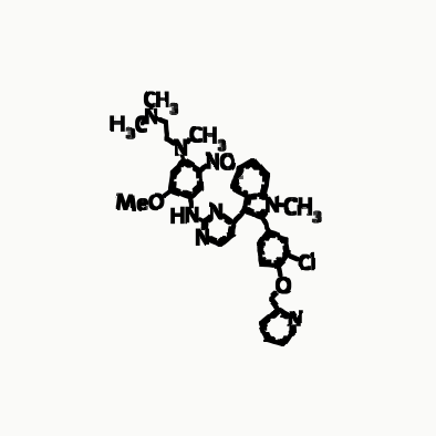 COc1cc(N(C)CCN(C)C)c([N+](=O)[O-])cc1Nc1nccc(-c2c(-c3ccc(OCc4ccccn4)c(Cl)c3)n(C)c3ccccc23)n1